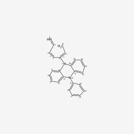 C/C=C(\C=C/C=N)N1c2ccccc2N(c2ccccc2)c2ccccc21